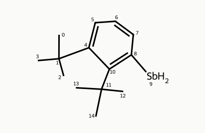 CC(C)(C)c1ccc[c]([SbH2])c1C(C)(C)C